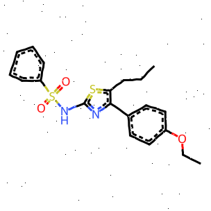 CCCc1sc(NS(=O)(=O)c2ccccc2)nc1-c1ccc(OCC)cc1